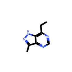 CCc1ncnc2c(C)n[nH]c12